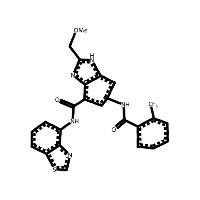 COCc1nc2c(C(=O)Nc3cccc4scnc34)cc(NC(=O)c3ccccc3C(F)(F)F)cc2[nH]1